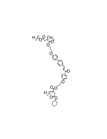 C=C(CC(=O)OC)C(=O)OCCCOc1ccc(-c2ccc(/C=C/C(=O)c3ccc(OCCCOC(=O)C(=C)CC(=O)OC4CCCCC4)cc3)cc2)cc1